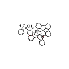 CC1(C)c2ccccc2-c2ccc(N(c3ccccc3-c3ccccc3)c3cccc4c3C3(c5ccccc5-4)c4ccccc4N(c4ccccc4)c4ccccc43)cc21